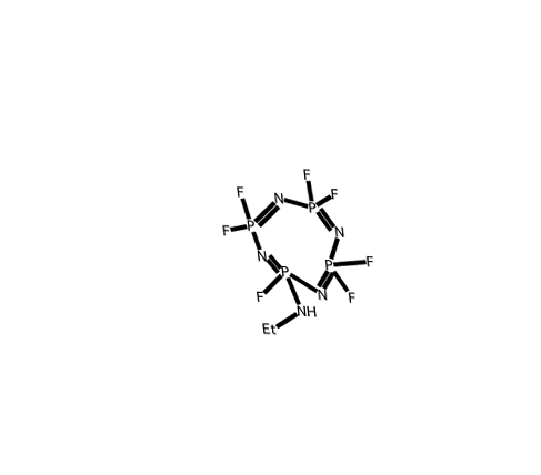 CCNP1(F)=NP(F)(F)=NP(F)(F)=NP(F)(F)=N1